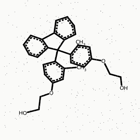 Cc1cc(OCCO)ccc1C1(c2ccc(OCCO)cc2C)c2ccccc2-c2ccccc21